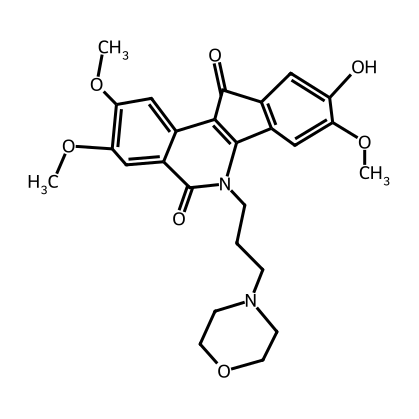 COc1cc2c(cc1O)C(=O)c1c-2n(CCCN2CCOCC2)c(=O)c2cc(OC)c(OC)cc12